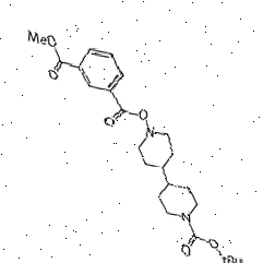 COC(=O)c1cccc(C(=O)ON2CCC(C3CCN(C(=O)OC(C)(C)C)CC3)CC2)c1